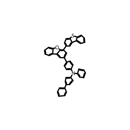 c1ccc(-c2ccc(N(c3ccccc3)c3ccc(-c4cc(-c5ccc6sc7ccccc7c6c5)c5oc6ccccc6c5c4)cc3)cc2)cc1